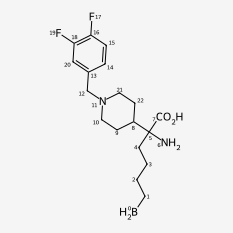 BCCCCC(N)(C(=O)O)C1CCN(Cc2ccc(F)c(F)c2)CC1